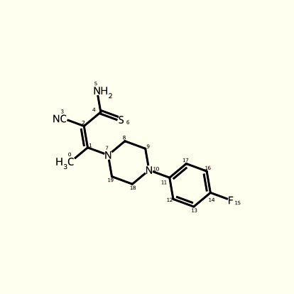 C/C(=C(\C#N)C(N)=S)N1CCN(c2ccc(F)cc2)CC1